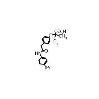 CC(C)c1ccc(NC(=O)Cc2ccc(OC(C)(C)C(=O)O)cc2)cc1